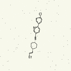 CCC=C[C@H]1CC[C@H](C#Cc2ccc(-c3ccc(Cl)cc3)nc2)CC1